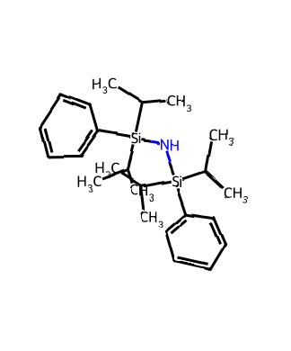 CC(C)[Si](N[Si](c1ccccc1)(C(C)C)C(C)C)(c1ccccc1)C(C)C